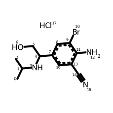 CC(C)NC(CO)c1cc(Br)c(N)c(C#N)c1.Cl